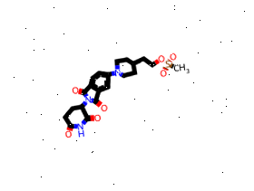 CS(=O)(=O)OCCC1CCN(c2ccc3c(c2)C(=O)N(C2CCC(=O)NC2=O)C3=O)CC1